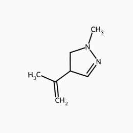 C=C(C)C1C=NN(C)C1